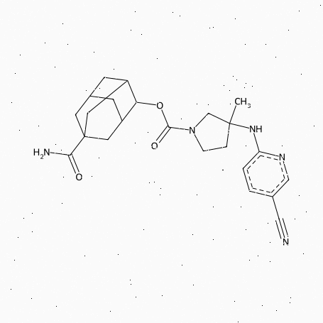 CC1(Nc2ccc(C#N)cn2)CCN(C(=O)OC2C3CC4CC2CC(C(N)=O)(C4)C3)C1